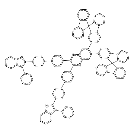 c1ccc(-n2c(-c3ccc(-c4ccc(-c5nc6cc(-c7ccc8c(c7)C7(c9ccccc9-c9ccccc97)c7ccccc7-8)c(-c7ccc8c(c7)C7(c9ccccc9-c9ccccc97)c7ccccc7-8)cc6nc5-c5ccc(-c6ccc(-c7nc8ccccc8n7-c7ccccc7)cc6)cc5)cc4)cc3)nc3ccccc32)cc1